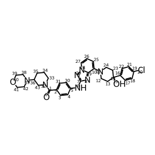 O=C(c1ccc(Nc2nc3c(N4CCC(O)(c5ccc(Cl)cc5)CC4)cccn3n2)cc1)N1CCCC(N2CCOCC2)C1